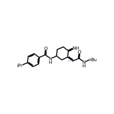 CCCCNC(=O)/C=C1/CC(NC(=O)c2ccc(C(C)C)cc2)CCC1=N